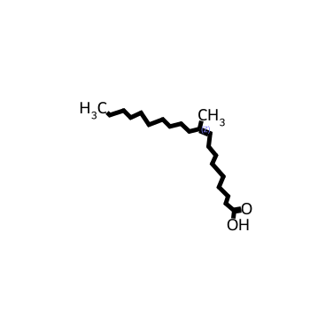 CCCCCCCCCC/C(C)=C\CCCCCCCC(=O)O